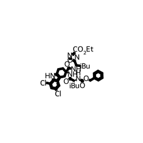 CCOC(=O)c1noc(C(NC(=O)[C@@]2(NC(=O)[C@@H](NC(=O)OCc3ccccc3)[C@@H](C)CC)CCc3[nH]c4c(Cl)cc(Cl)cc4c3C2)C(C)CC)n1